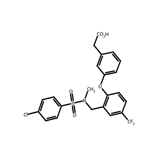 CN(Cc1cc(C(F)(F)F)ccc1Oc1cccc(CC(=O)O)c1)S(=O)(=O)c1ccc(Cl)cc1